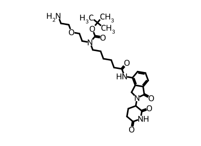 CC(C)(C)OC(=O)N(CCCCCC(=O)Nc1cccc2c1CN(C1CCC(=O)NC1=O)C2=O)CCOCCN